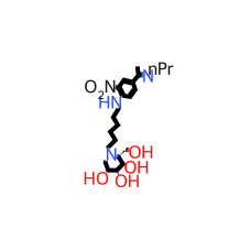 CCC/N=C(\C)c1ccc(NCCCCCCN2C[C@H](O)[C@@H](O)[C@H](O)[C@H]2CO)c([N+](=O)[O-])c1